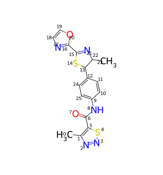 Cc1nnsc1C(=O)Nc1ccc(C2SC(c3ncco3)=NC2C)cc1